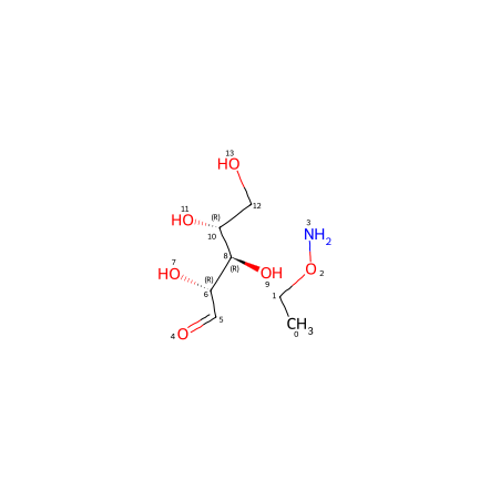 CCON.O=C[C@H](O)[C@H](O)[C@H](O)CO